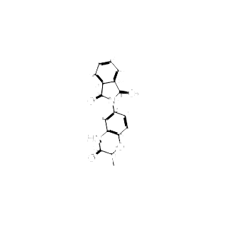 C[C@@H]1Oc2ccc(N3C(=O)c4ccccc4C3=O)cc2NC1=O